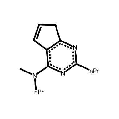 CCCc1nc2c(c(N(C)CCC)n1)C=CC2